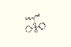 O=S(=O)(c1ccccc1)c1ccccc1.[N-]=[N+]=C(F)CF